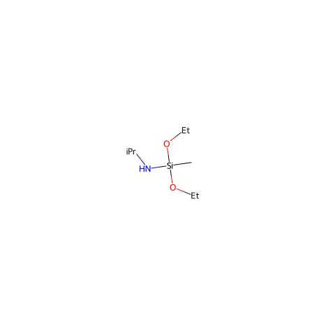 CCO[Si](C)(NC(C)C)OCC